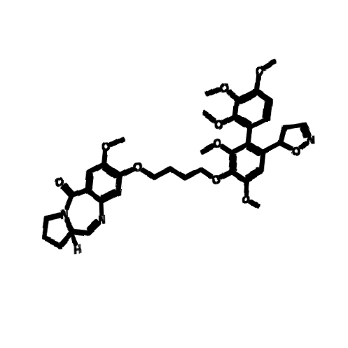 COc1cc2c(cc1OCCCCOc1c(OC)cc(C3CC=NO3)c(-c3ccc(OC)c(OC)c3OC)c1OC)N=C[C@@H]1CCCN1C2=O